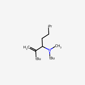 C=C(C(CCC(C)C)N(C)C(C)(C)C)C(C)(C)C